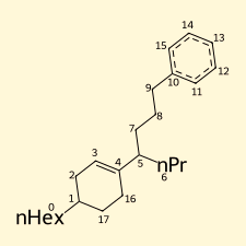 CCCCCCC1CC=C(C(CCC)CCCc2ccccc2)CC1